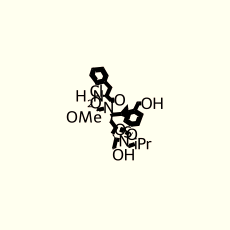 COC(=O)N(C(=O)[C@@H](N)Cc1ccccc1Cl)[C@H](CCC[C@@H](CO)N(CC(C)C)S(=O)(=O)c1ccc(CO)cc1)C1CC1